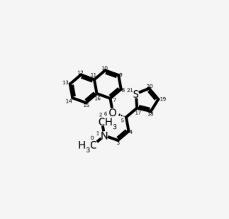 CN(C)/C=C\[C@H](Oc1cccc2ccccc12)c1cccs1